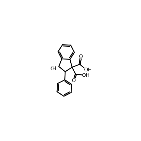 O=C(O)C1(C(=O)O)c2ccccc2CC1c1ccccc1.[KH]